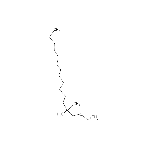 C=COCC(C)(C)CCCCCCCCCCCC